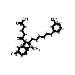 Cn1c(CCCCCCc2cccc(Cl)c2)c(C(=O)CCCC(=O)O)c2cc(Cl)ccc21